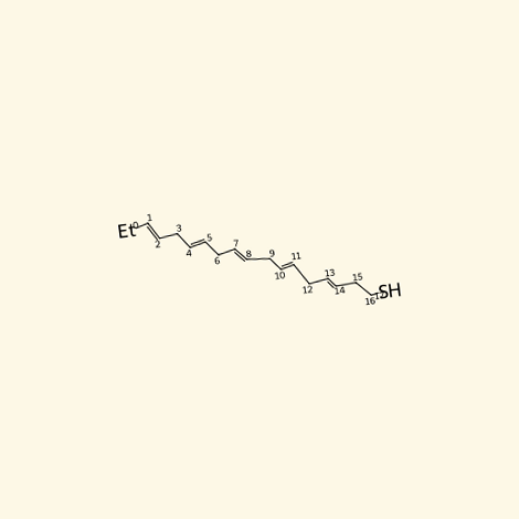 CCC=CCC=CCC=CCC=CCC=CCCS